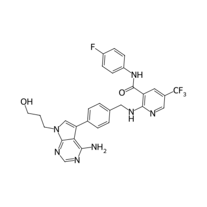 Nc1ncnc2c1c(-c1ccc(CNc3ncc(C(F)(F)F)cc3C(=O)Nc3ccc(F)cc3)cc1)cn2CCCO